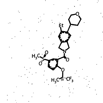 CCc1cc2c(cc1C1CCOCC1)CN(C(=O)c1cc(S(C)(=O)=O)ccc1O[C@@H](C)C(F)(F)F)C2